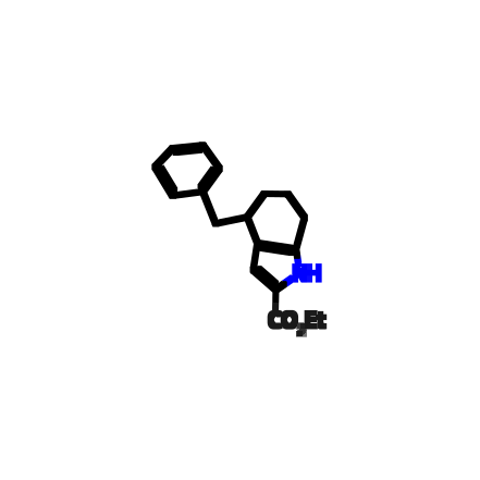 CCOC(=O)c1cc2c([nH]1)CCCC2Cc1ccccc1